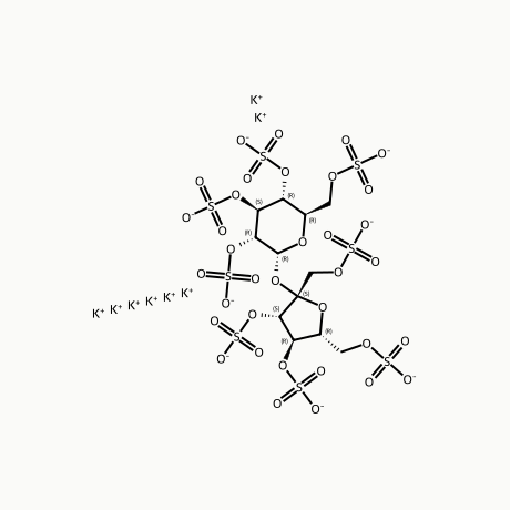 O=S(=O)([O-])OC[C@H]1O[C@@](COS(=O)(=O)[O-])(O[C@H]2O[C@H](COS(=O)(=O)[O-])[C@@H](OS(=O)(=O)[O-])[C@H](OS(=O)(=O)[O-])[C@H]2OS(=O)(=O)[O-])[C@@H](OS(=O)(=O)[O-])[C@@H]1OS(=O)(=O)[O-].[K+].[K+].[K+].[K+].[K+].[K+].[K+].[K+]